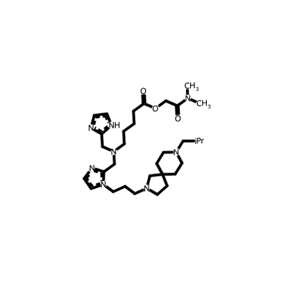 CC(C)CN1CCC2(CC1)CCN(CCCn1ccnc1CN(CCCCC(=O)OCC(=O)N(C)C)Cc1ncc[nH]1)C2